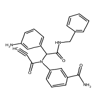 C#CC(=O)N(c1cccc(C(N)=O)c1)C(C(=O)NCc1ccccc1)c1cccc(N)c1